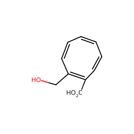 O=C(O)C1=C(CO)C=CC=CC=C1